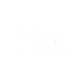 CC1CCCC1(N)OC(=O)NC(C)(C)C